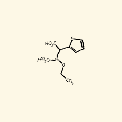 O=C(O)C(c1cccs1)N(OCC(Cl)(Cl)Cl)C(=O)O